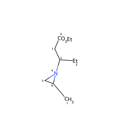 CCOC(=O)CC(CC)N1CC1C